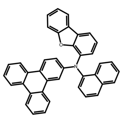 c1ccc2c(N(c3ccc4c5ccccc5c5ccccc5c4c3)c3cccc4c3oc3ccccc34)cccc2c1